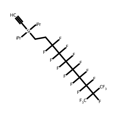 C#C[Si](CCC(F)(F)C(F)(F)C(F)(F)C(F)(F)C(F)(F)C(F)(F)C(F)(C(F)(F)F)C(F)(F)F)(C(C)C)C(C)C